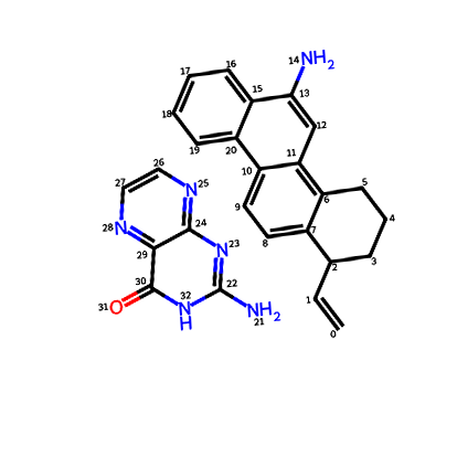 C=CC1CCCc2c1ccc1c2cc(N)c2ccccc21.Nc1nc2nccnc2c(=O)[nH]1